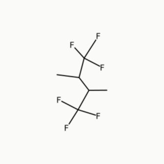 CC(C(C)C(F)(F)F)C(F)(F)F